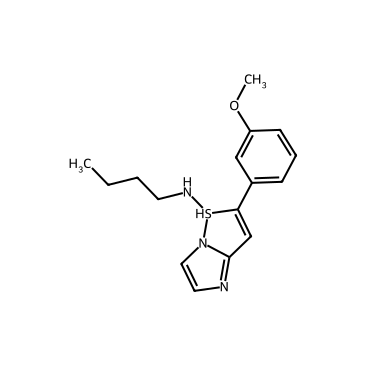 CCCCN[SH]1C(c2cccc(OC)c2)=Cc2nccn21